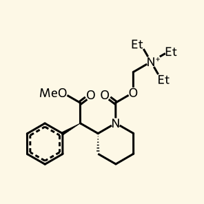 CC[N+](CC)(CC)COC(=O)N1CCCC[C@@H]1[C@H](C(=O)OC)c1ccccc1